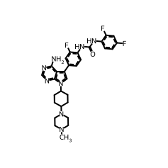 CN1CCN(C2CCC(n3cc(-c4ccc(NC(=O)Nc5ccc(F)cc5F)c(F)c4)c4c(N)ncnc43)CC2)CC1